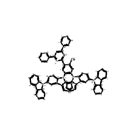 N#Cc1cc(-n2c3ccccc3c3cc(-n4c5ccccc5c5ccccc54)ccc32)c(-n2c3ccccc3c3cc(-n4c5ccccc5c5ccccc54)ccc32)cc1-c1nc(-c2ccccc2)cc(-c2ccccc2)n1